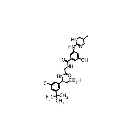 CC(C)(c1cc(Cl)cc([C@H](CC(=O)O)NC(=O)CNC(=O)c2cc(O)cc(NC3=NCC(F)CN3)c2)c1)C(F)(F)F